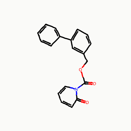 O=C(OCc1cccc(-c2ccccc2)c1)n1ccccc1=O